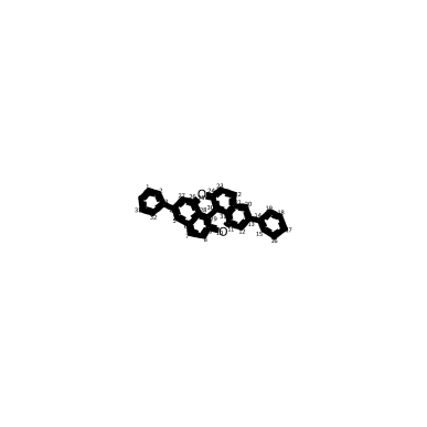 c1ccc(-c2cc3ccc4oc5cc(-c6ccccc6)cc6ccc7oc(c2)c3c4-c7c65)cc1